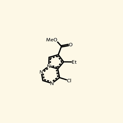 CCc1c(C(=O)OC)cn2ncnc(Cl)c12